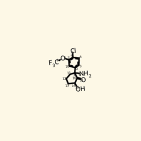 NC1(c2ccc(Cl)c(OC(F)(F)F)c2)CCCC(O)C1=O